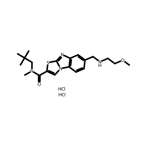 COCCNCc1ccc2c(c1)nc1sc(C(=O)N(C)CC(C)(C)C)cn12.Cl.Cl